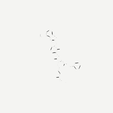 CC(C)Oc1cccc2[nH]c(Cn3cccc(NC(=O)C(CCC=CC(N)=O)NC(=O)OCc4ccccc4)c3=O)nc12